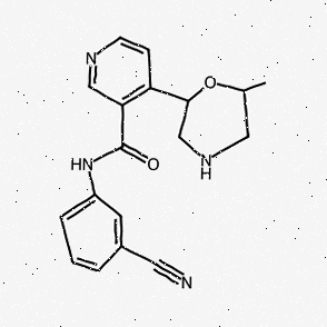 CC1CNCC(c2ccncc2C(=O)Nc2cccc(C#N)c2)O1